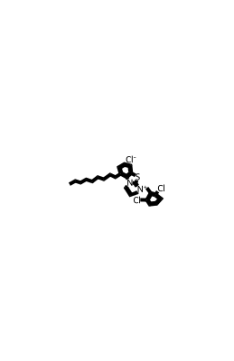 CCCCCCCCCc1cccc2c1N1C=CC[N+](Cc3c(Cl)cccc3Cl)=C1S2.[Cl-]